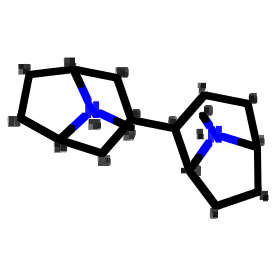 CN1[C]2CCC1CCC2C1CC2CCC(C1)N2C